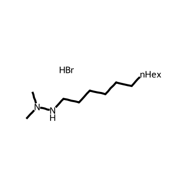 Br.CCCCCCCCCCCCNN(C)C